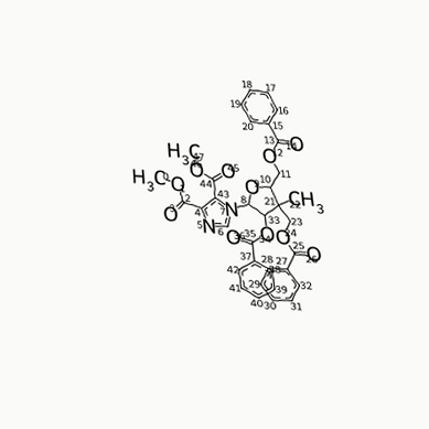 COC(=O)c1ncn(C2OC(COC(=O)c3ccccc3)C(C)(COC(=O)c3ccccc3)C2OC(=O)c2ccccc2)c1C(=O)OC